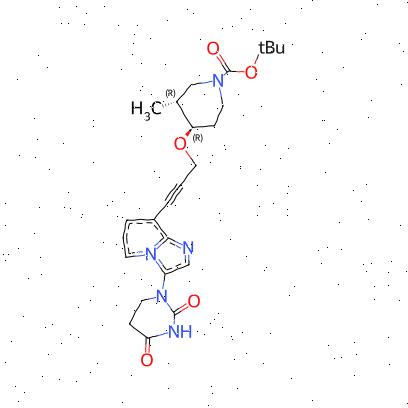 C[C@@H]1CN(C(=O)OC(C)(C)C)CC[C@H]1OCC#Cc1cccn2c(N3CCC(=O)NC3=O)cnc12